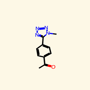 CC(=O)c1ccc(-c2nnnn2C)cc1